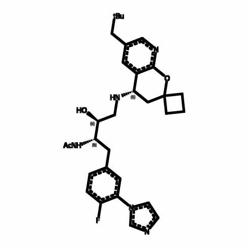 CC(=O)N[C@@H](Cc1ccc(F)c(-n2ccnc2)c1)[C@@H](O)CN[C@H]1CC2(CCC2)Oc2ncc(CC(C)(C)C)cc21